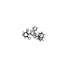 CC[Si](CC)(CC)OC(CNCC12CC3CC(CC(C3)C1)C2)c1c(Cl)cncc1Cl